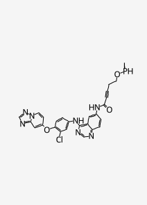 O=C(C#CCCOPI)Nc1ccc2ncnc(Nc3ccc(Oc4ccn5ncnc5c4)c(Cl)c3)c2c1